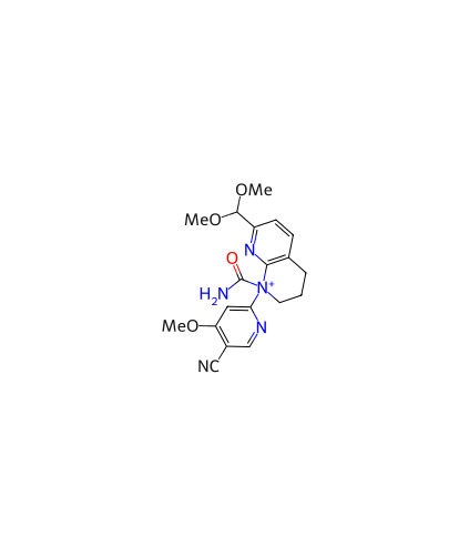 COc1cc([N+]2(C(N)=O)CCCc3ccc(C(OC)OC)nc32)ncc1C#N